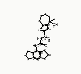 CC1(O)CCCCc2oc([S+]([O-])NC(=O)Nc3c4c(cc5c3CCC5)CCC4)cc21